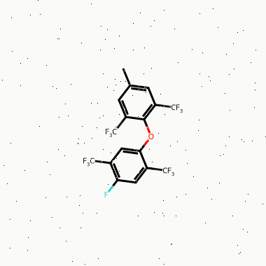 Cc1cc(C(F)(F)F)c(Oc2cc(C(F)(F)F)c(F)cc2C(F)(F)F)c(C(F)(F)F)c1